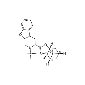 CN(C(CC1COc2ccccc21)B1O[C@@H]2C[C@@H]3C[C@@H](C3(C)C)[C@]2(C)O1)S(C)(C)C